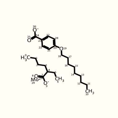 CCCCC(CC)C(=O)[O-].CCCCCCCCCOc1ccc(C(=O)[O-])cc1.[Mo+2]